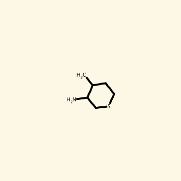 CC1CCSCC1N